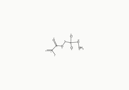 C=C(C)C(=O)OCC(Cl)(Cl)O[SiH3]